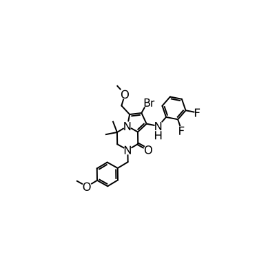 COCc1c(Br)c(Nc2cccc(F)c2F)c2n1C(C)(C)CN(Cc1ccc(OC)cc1)C2=O